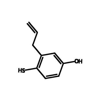 C=CCc1cc(O)ccc1S